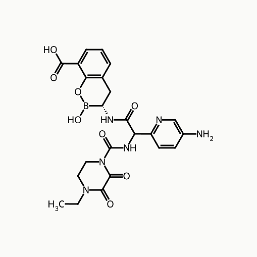 CCN1CCN(C(=O)NC(C(=O)N[C@H]2Cc3cccc(C(=O)O)c3OB2O)c2ccc(N)cn2)C(=O)C1=O